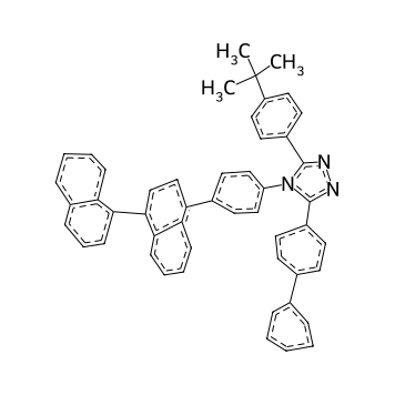 CC(C)(C)c1ccc(-c2nnc(-c3ccc(-c4ccccc4)cc3)n2-c2ccc(-c3ccc(-c4cccc5ccccc45)c4ccccc34)cc2)cc1